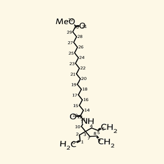 C=CCC(CC=C)(CC=C)CNC(=O)CCCCCCCCCCCCCCCCC(=O)OC